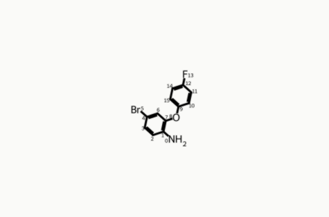 Nc1ccc(Br)cc1Oc1ccc(F)cc1